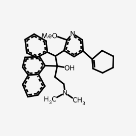 COc1ncc(C2=CCCCC2)cc1C(c1ccccc1)C(O)(CCN(C)C)c1cccc2ccccc12